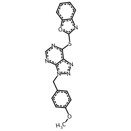 COc1ccc(Cn2nnc3c(Sc4nc5ccccc5o4)ncnc32)cc1